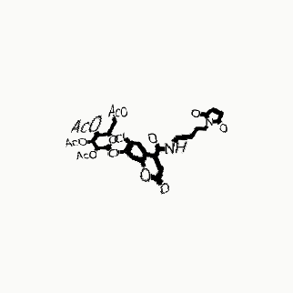 CC(=O)OCC1OC(Oc2cc3oc(=O)cc(C(=O)NCCCCN4C(=O)C=CC4=O)c3cc2Cl)C(OC(C)=O)C(OC(C)=O)C1OC(C)=O